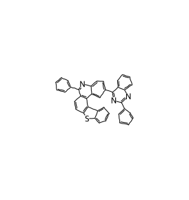 c1ccc(-c2nc(-c3ccc4nc(-c5ccccc5)c5ccc6sc7ccccc7c6c5c4c3)c3ccccc3n2)cc1